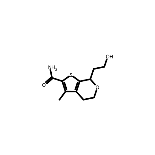 Cc1c(C(N)=O)sc2c1CCOC2CCO